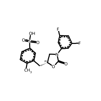 Cc1ccc(S(=O)(=O)O)cc1C[C@@H]1CN(c2cc(F)cc(F)c2)C(=O)O1